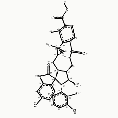 COC(=O)c1ccc(C(=O)CC[C@H]2[C@@H](N)[C@H](c3cccc(Cl)c3F)[C@]3(C(=O)Nc4cc(Cl)ccc43)N2CC2CC2)c([N+](=O)[O-])c1C